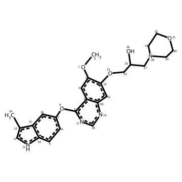 COc1cc2c(Oc3ccc4[nH]cc(C)c4c3)ncnc2cc1OCC(O)CN1CCOCC1